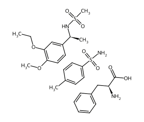 CCOc1cc([C@H](C)NS(C)(=O)=O)ccc1OC.Cc1ccc(S(N)(=O)=O)cc1.N[C@@H](Cc1ccccc1)C(=O)O